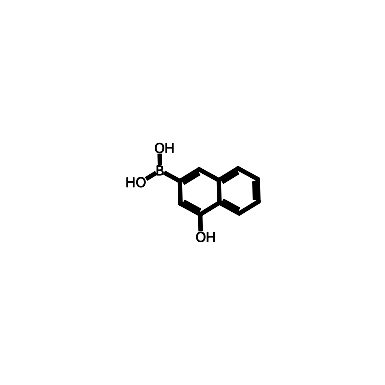 OB(O)c1cc(O)c2ccccc2c1